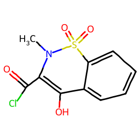 CN1C(C(=O)Cl)=C(O)c2ccccc2S1(=O)=O